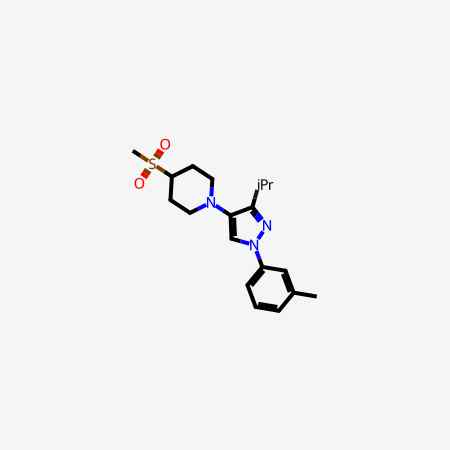 Cc1cccc(-n2cc(N3CCC(S(C)(=O)=O)CC3)c(C(C)C)n2)c1